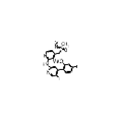 COc1cc(F)ccc1-c1cc(Nc2cc(CS(C)(=O)=NC(C)=O)ccn2)ncc1F